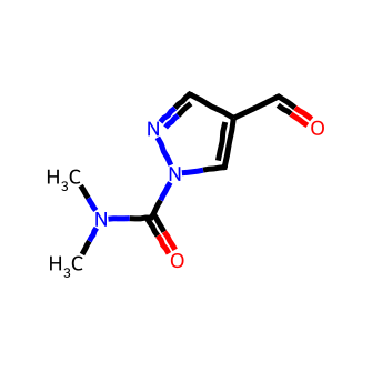 CN(C)C(=O)n1cc(C=O)cn1